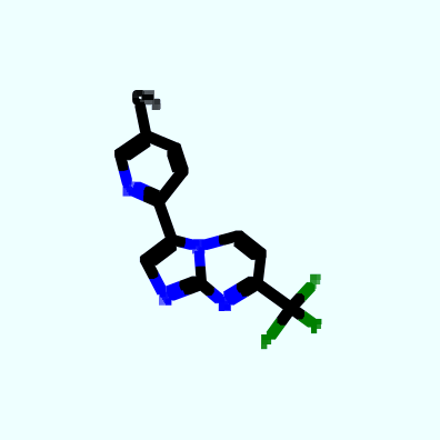 Cc1ccc(-c2cnc3nc(C(F)(F)F)ccn23)nc1